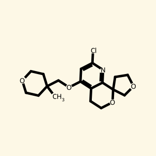 CC1(COc2cc(Cl)nc3c2CCOC32CCOC2)CCOCC1